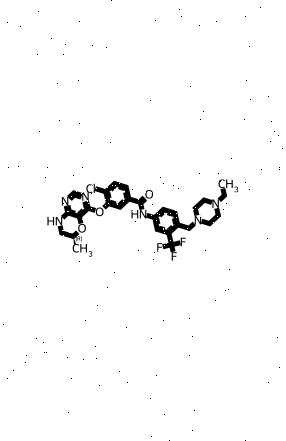 CCN1CCN(Cc2ccc(NC(=O)c3ccc(Cl)c(Oc4ncnc5c4O[C@H](C)CN5)c3)cc2C(F)(F)F)CC1